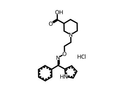 Cl.O=C(O)C1CCCN(CCON=C(c2ccccc2)c2ccc[nH]2)C1